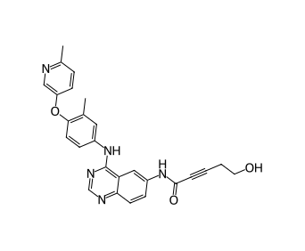 Cc1ccc(Oc2ccc(Nc3ncnc4ccc(NC(=O)C#CCCO)cc34)cc2C)cn1